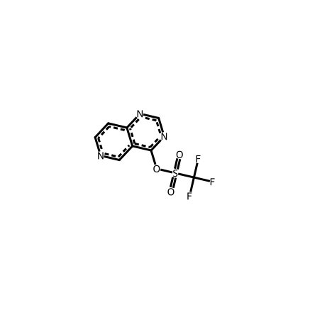 O=S(=O)(Oc1ncnc2ccncc12)C(F)(F)F